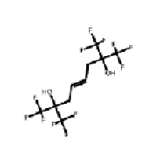 OC(CC=CCC(O)(C(F)(F)F)C(F)(F)F)(C(F)(F)F)C(F)(F)F